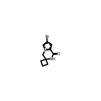 O=C1NC2(CCC2)Cn2cc(Br)cc21